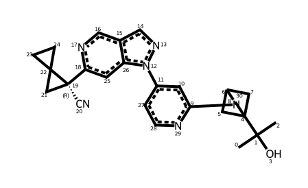 CC(C)(O)C12CC(C1)N(c1cc(-n3ncc4cnc([C@@]5(C#N)CC56CC6)cc43)ccn1)C2